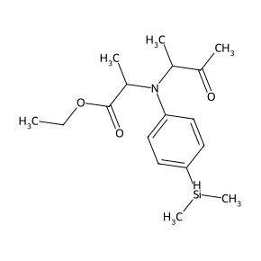 CCOC(=O)C(C)N(c1ccc([SiH](C)C)cc1)C(C)C(C)=O